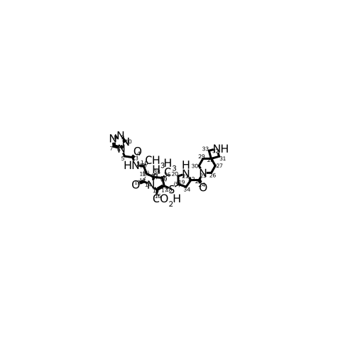 C[C@@H](NC(=O)Cn1cnnn1)[C@H]1C(=O)N2C(C(=O)O)=C(S[C@@H]3CNC(C(=O)N4CCC5(CC4)CNC5)C3)[C@H](C)[C@H]12